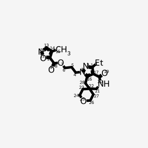 CCc1nn(CCCOC(=O)c2oncc2C)c2c1C(=O)NCC1(CCOCC1)C2